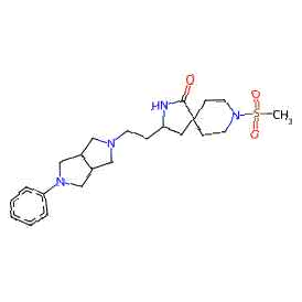 CS(=O)(=O)N1CCC2(CC1)CC(CCN1CC3CN(c4ccccc4)CC3C1)NC2=O